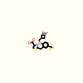 O=C([O-])c1csc(Cc2cc(C(F)(F)F)ccc2OCC2CCC2)n1.[Na+]